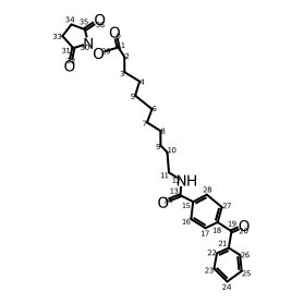 O=C(CCCCCCCCCCNC(=O)c1ccc(C(=O)c2ccccc2)cc1)ON1C(=O)CCC1=O